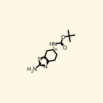 CC(C)(C)OC(=O)N[C@@H]1CCc2nc(N)sc2C1